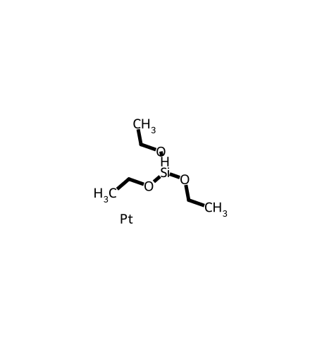 CCO[SiH](OCC)OCC.[Pt]